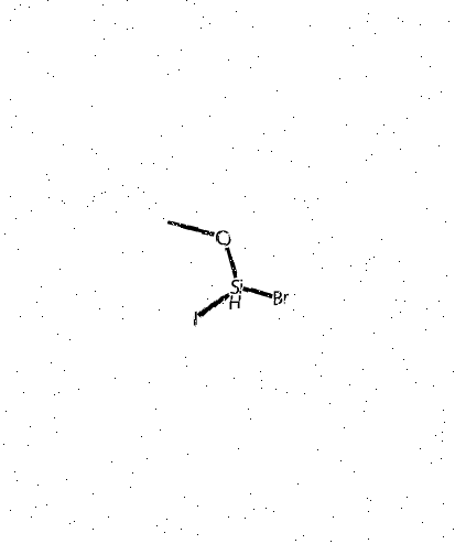 CO[SiH](Br)I